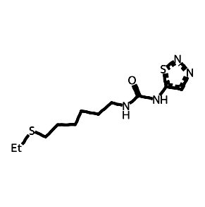 CCSCCCCCCNC(=O)Nc1cnns1